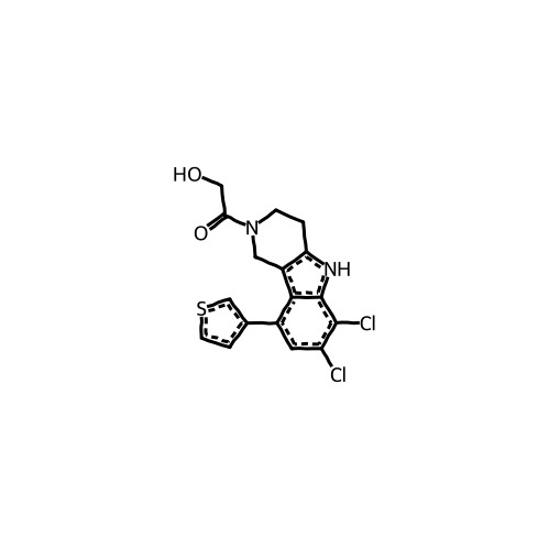 O=C(CO)N1CCc2[nH]c3c(Cl)c(Cl)cc(-c4ccsc4)c3c2C1